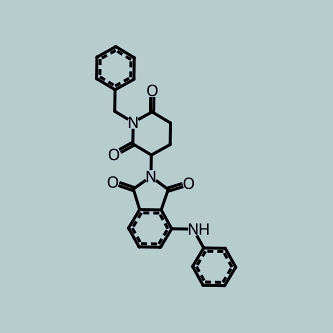 O=C1CCC(N2C(=O)c3cccc(Nc4ccccc4)c3C2=O)C(=O)N1Cc1ccccc1